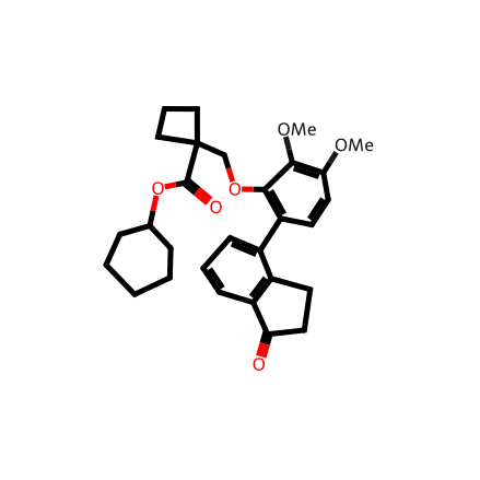 COc1ccc(-c2cccc3c2CCC3=O)c(OCC2(C(=O)OC3CCCCC3)CCC2)c1OC